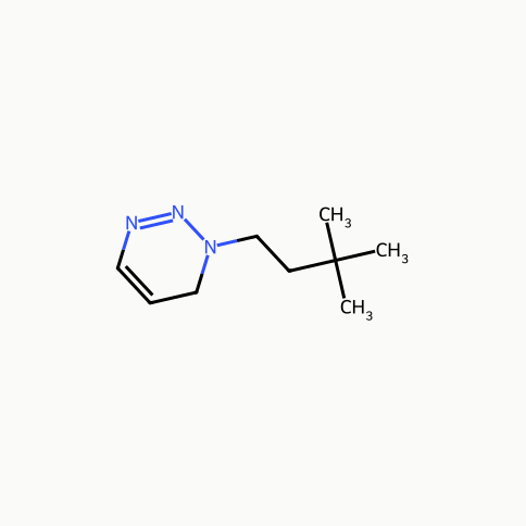 CC(C)(C)CCN1CC=CN=N1